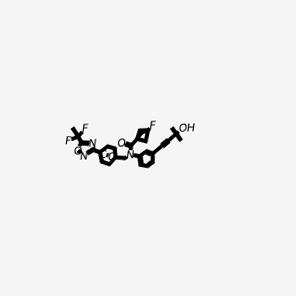 CC(C)(O)C#Cc1cccc(N(CC23CCC(c4noc(C(C)(F)F)n4)(CC2)CC3)C(=O)C23CC(F)(C2)C3)c1